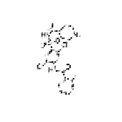 Cc1ccccc1C(=O)Nc1cc(Cl)c(S(=O)(=O)N[C@@H](C)C2CCN(C)CC2)cc1Cl